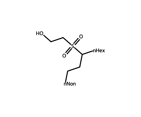 CCCCCCCCCCCC(CCCCCC)S(=O)(=O)CCO